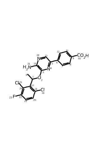 CC(Oc1nc(-c2ccc(C(=O)O)cc2)cnc1N)c1c(Cl)ccc(F)c1Cl